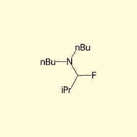 CCCCN(CCCC)C(F)C(C)C